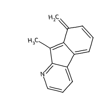 C=c1cccc2c1=C(C)c1ncccc1-2